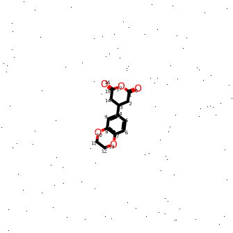 O=C1CC(c2ccc3c(c2)OCCO3)CC(=O)O1